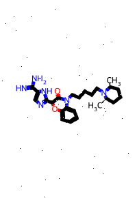 C[C@@H]1CCC[C@H](C)N1CCCCCN1C(=O)C(c2ncc(C(=N)N)[nH]2)Oc2ccccc21